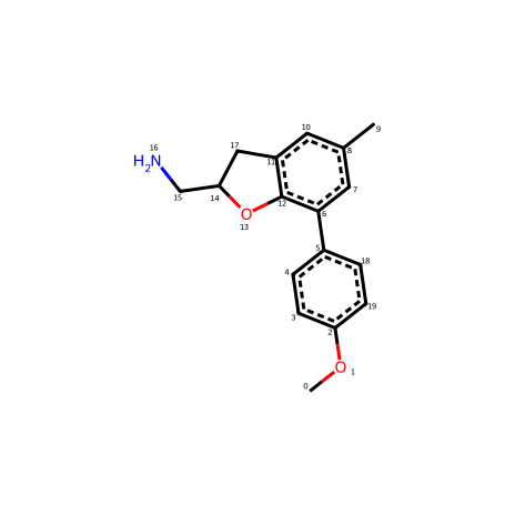 COc1ccc(-c2cc(C)cc3c2OC(CN)C3)cc1